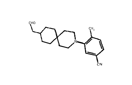 Cc1ccc(C#N)cc1N1CCC2(CCC(CC=O)CC2)CC1